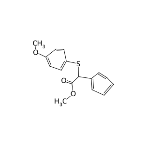 COC(=O)C(Sc1ccc(OC)cc1)c1ccccc1